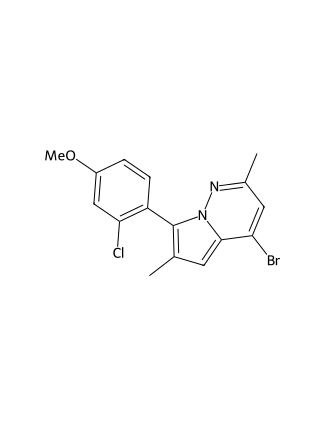 COc1ccc(-c2c(C)cc3c(Br)cc(C)nn23)c(Cl)c1